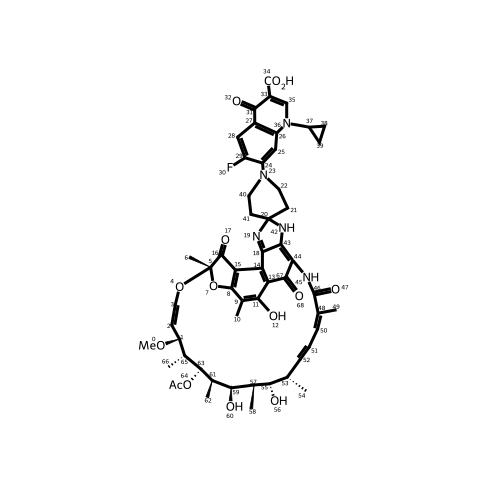 CO[C@H]1/C=C/O[C@@]2(C)Oc3c(C)c(O)c4c(c3C2=O)C2=NC3(CCN(c5cc6c(cc5F)c(=O)c(C(=O)O)cn6C5CC5)CC3)NC2=C(NC(=O)/C(C)=C\C=C\[C@H](C)[C@H](O)[C@@H](C)[C@@H](O)[C@@H](C)[C@H](OC(C)=O)[C@@H]1C)C4=O